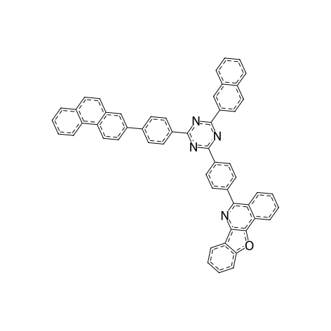 c1ccc2cc(-c3nc(-c4ccc(-c5ccc6c(ccc7ccccc76)c5)cc4)nc(-c4ccc(-c5nc6c7ccccc7oc6c6ccccc56)cc4)n3)ccc2c1